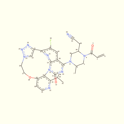 C=CC(=O)N1CC(C)N(c2nc(=O)n3c4nc(c(F)cc24)-c2cn(nn2)CCOc2ccnc(C(C)C)c2-3)CC1CC#N